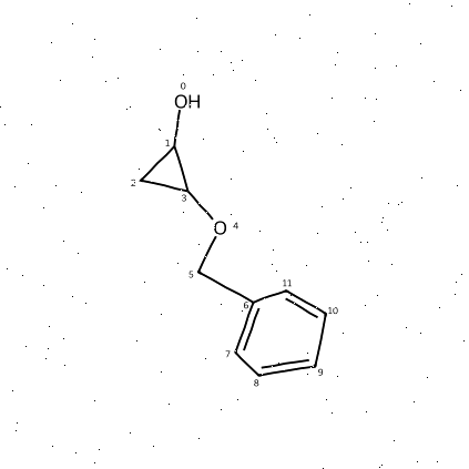 OC1CC1OCc1ccccc1